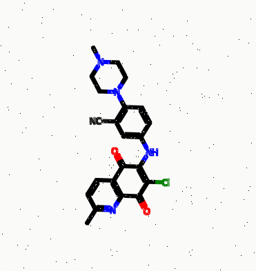 Cc1ccc2c(n1)C(=O)C(Cl)=C(Nc1ccc(N3CCN(C)CC3)c(C#N)c1)C2=O